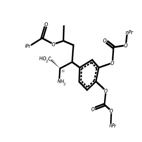 CCCOC(=O)Oc1ccc(C(CC(C)OC(=O)C(C)C)[C@H](N)C(=O)O)cc1OC(=O)OCCC